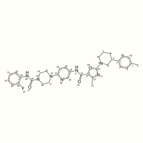 Cc1ccc(C2CCCN(c3nc(C)c(C(=O)Nc4ccc(N5CCN(C(=O)Nc6ccccc6F)CC5)nc4)o3)C2)cc1